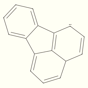 [C]1C=CC2C=CC=C3C2=C1c1ccccc13